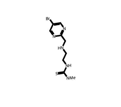 CNC(=S)NCCNCc1ncc(Br)cn1